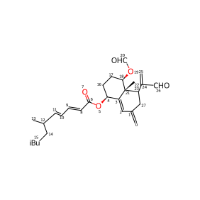 C=C1C=C2[C@@H](OC(=O)/C=C/C=C/C(C)CC(C)CC)CC[C@@H](OC=O)[C@]2(C)C(C(=C)C=O)C1